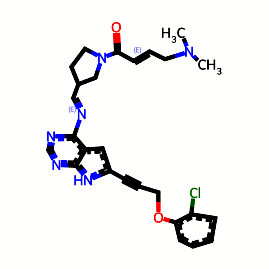 CN(C)C/C=C/C(=O)N1CCC(/C=N/c2ncnc3[nH]c(C#CCOc4ccccc4Cl)cc23)C1